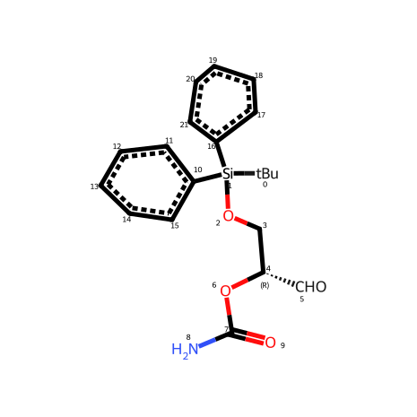 CC(C)(C)[Si](OC[C@H](C=O)OC(N)=O)(c1ccccc1)c1ccccc1